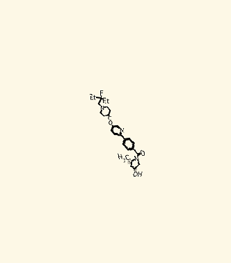 CCC(F)(CC)CN1CCC(COc2ccc(-c3ccc(C(=O)N4C[C@H](O)C[C@@H]4C)cc3)nc2)CC1